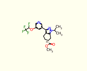 COC(=O)[C@@H]1CCc2c(-c3cncc(OC(F)C(F)(F)F)c3)nn(C(C)C)c2C1